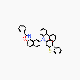 c1ccc(-c2nc3c(ccc4ccc(N(c5ccc6c(c5)sc5ccccc56)c5ccccc5-c5ccccc5)cc43)o2)cc1